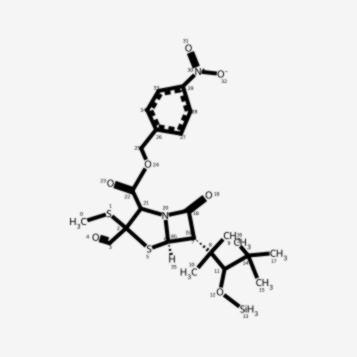 CSC1(C=O)S[C@@H]2[C@@H](C(C)(C)C(O[SiH3])C(C)(C)C)C(=O)N2C1C(=O)OCc1ccc([N+](=O)[O-])cc1